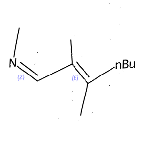 CCCC/C(C)=C(C)/C=N\C